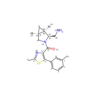 Cc1cccc(-c2sc(C)nc2C(=O)N2C[C@H]3C[C@H]3[C@H]2CN)c1